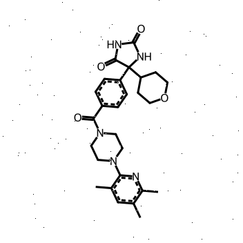 Cc1cc(C)c(N2CCN(C(=O)c3ccc(C4(C5CCOCC5)NC(=O)NC4=O)cc3)CC2)nc1C